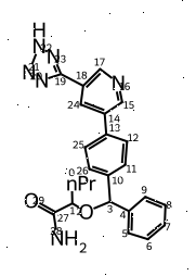 CCCC(OC(c1ccccc1)c1ccc(-c2cncc(-c3nn[nH]n3)c2)cc1)C(N)=O